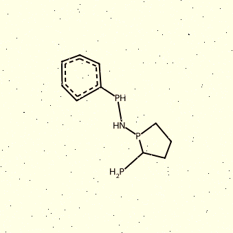 PC1CCCP1NPc1ccccc1